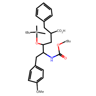 COc1ccc(CC(NC(=O)OC(C)(C)C)C(CC(Cc2ccccc2)C(=O)O)O[Si](C)(C)C(C)(C)C)cc1